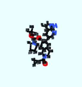 Cc1c[nH]c2ncc(-c3cc4c(c([C@@H]5CCCN5C(=O)OC(C)(C)C)c3)CN(C(=O)C3CC3)CC4)cc12